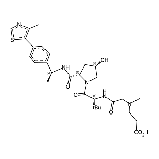 Cc1ncsc1-c1ccc([C@H](C)NC(=O)[C@@H]2C[C@@H](O)CN2C(=O)[C@@H](NC(=O)CN(C)CCC(=O)O)C(C)(C)C)cc1